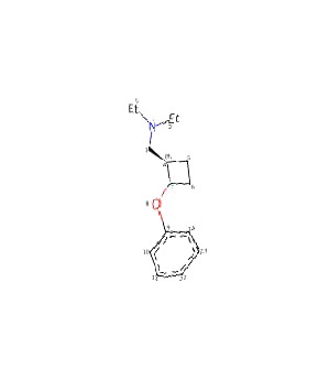 CCN(CC)C[C@H]1CCC1Oc1ccccc1